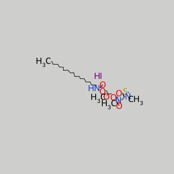 CCCCCCCCCCCCCCCCCCNC(=O)OCC(COC(=O)N(CC1=CSCN1C)C(C)=O)OC.I